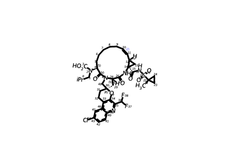 CC(C)CN(C(=O)O)[C@H]1CCCCC/C=C\[C@@H]2C[C@@]2(C(=O)NS(=O)(=O)C2(C)CC2)NC(=O)[C@@H]2C[C@]3(CCc4c(c(C(F)F)nc5ccc(Cl)cc45)O3)CN2C1=O